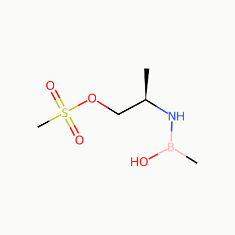 CB(O)N[C@H](C)COS(C)(=O)=O